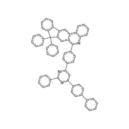 c1ccc(-c2ccc(-c3cc(-c4ccc(-c5nc6ccccc6c6cc7c(cc56)C(c5ccccc5)(c5ccccc5)c5ccccc5-7)cc4)nc(-c4ccccc4)n3)cc2)cc1